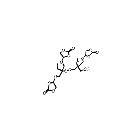 CCC(CO)(COCC(CC)(COC1COC(=O)O1)COC1COC(=O)O1)COC1COC(=O)O1